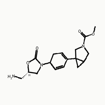 COC(=O)N1CC2CC2(C2=CCC(N3C[C@H](CN)OC3=O)C=C2)C1